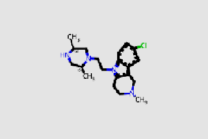 C[C@H]1CN(CCn2c3c(c4cc(Cl)ccc42)CN(C)CC3)[C@@H](C)CN1